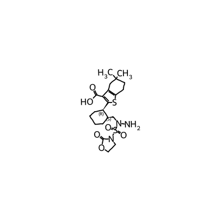 CC1(C)CCc2sc([C@@H]3CCCC[C@@H]3CN(N)S(=O)(=O)N3CCOC3=O)c(C(=O)O)c2C1